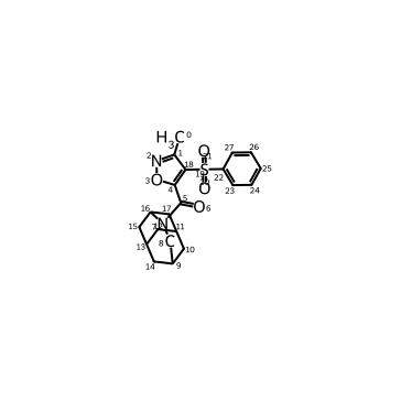 Cc1noc(C(=O)N2CC3CC4CC(C3)CC2C4)c1S(=O)(=O)c1ccccc1